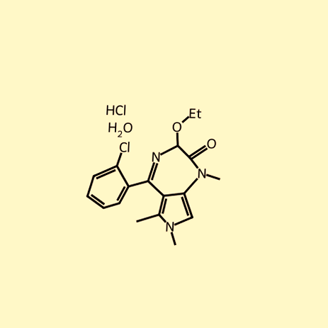 CCOC1N=C(c2ccccc2Cl)c2c(cn(C)c2C)N(C)C1=O.Cl.O